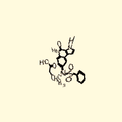 CCC(=O)O.CN(c1ccc2[nH]c(=O)c3[nH]ccc3c2c1)S(=O)(=O)c1ccccc1